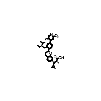 CCN(Cc1cc(-c2cc(OC)ncc2F)ccc1C1CCc2ccc([C@H](C3CC3)[C@H](C)C(=O)O)cc2O1)C(C)C